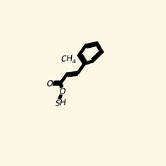 C.O=C(C=Cc1ccccc1)OS